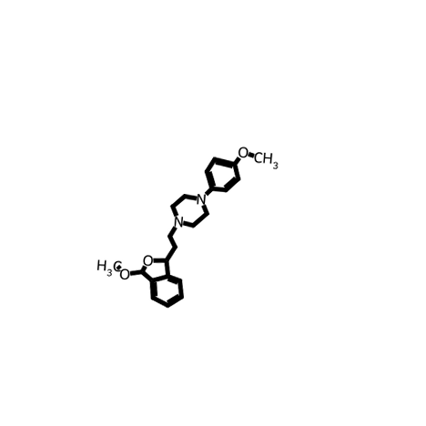 COc1ccc(N2CCN(CCC3OC(OC)c4ccccc43)CC2)cc1